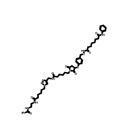 CC(C)C(=O)NCCNC(=O)CCCCCn1cc(CNC(=O)CCCCCN2C(=O)CC(Sc3ccc(CONC(=O)CCCCCCC(=O)Nc4ccccc4)cc3)C2=O)nn1